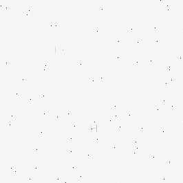 C=C.CC1CCCCC1